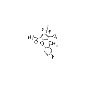 CC(=O)c1cc(C(F)(F)F)c(C2CC2)cc1Oc1ccc(F)cc1C